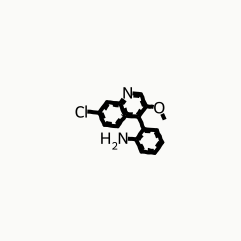 COc1cnc2cc(Cl)ccc2c1-c1ccccc1N